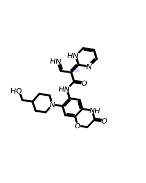 N=C/C(C(=O)Nc1cc2c(cc1N1CCC(CO)CC1)OCC(=O)N2)=C1/N=CC=CN1